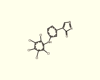 O=C1N=NC=C1c1cccc(Nc2c(Cl)c(Cl)c(Cl)c(Cl)c2Cl)c1